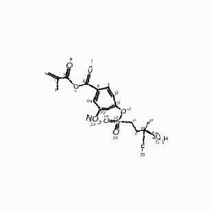 C=C(C)C(=O)OC(=O)c1ccc(OS(=O)(=O)CCC(F)(F)S(=O)(=O)O)c([N+](=O)[O-])c1